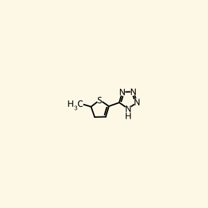 CC1CC=C(c2nnn[nH]2)S1